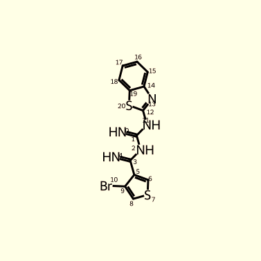 N=C(NC(=N)c1cscc1Br)Nc1nc2ccccc2s1